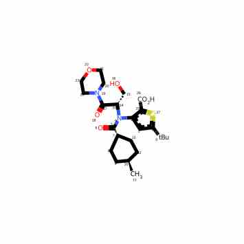 CC(C)(C)c1cc(N(C(=O)[C@H]2CC[C@H](C)CC2)[C@@H](CO)C(=O)N2CCOCC2)c(C(=O)O)s1